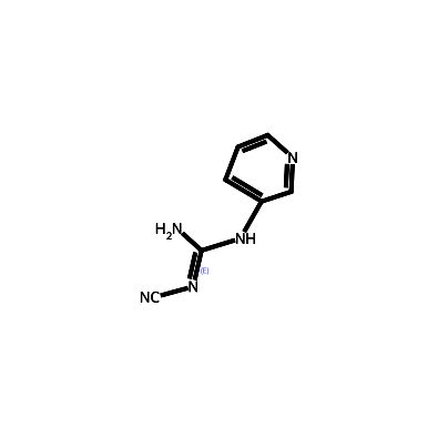 N#C/N=C(\N)Nc1cccnc1